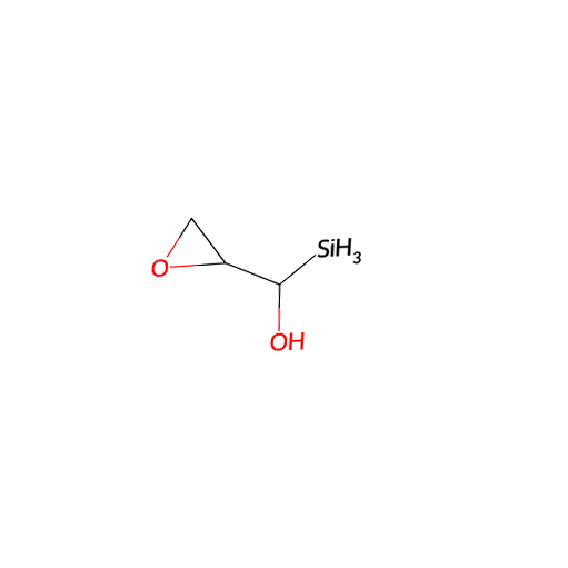 OC([SiH3])C1CO1